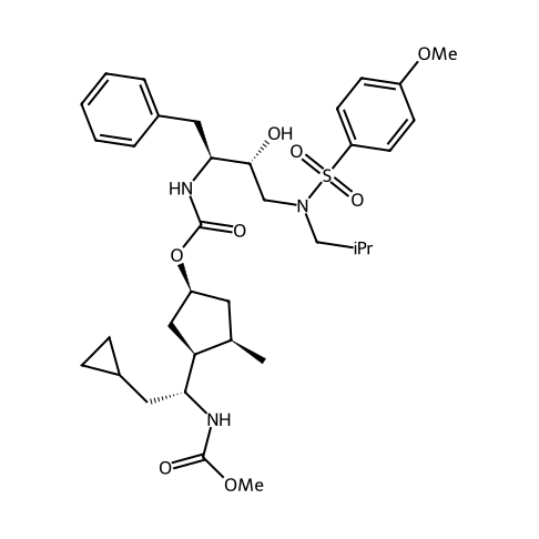 COC(=O)N[C@H](CC1CC1)[C@H]1C[C@@H](OC(=O)N[C@@H](Cc2ccccc2)[C@H](O)CN(CC(C)C)S(=O)(=O)c2ccc(OC)cc2)C[C@H]1C